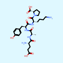 C[C@H](NC(=O)[C@@H](N)CCC(=O)O)C(=O)N[C@@H](Cc1ccc(O)cc1)C(=O)N[C@@H](CCCCN)C(=O)N1CCC[C@H]1C(=O)O